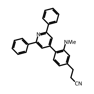 CNc1cc(CCC#N)ccc1-c1cc(-c2ccccc2)nc(-c2ccccc2)c1